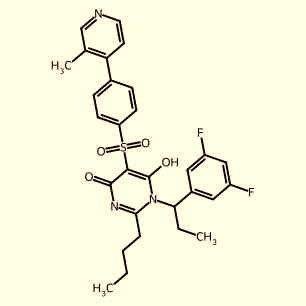 CCCCc1nc(=O)c(S(=O)(=O)c2ccc(-c3ccncc3C)cc2)c(O)n1C(CC)c1cc(F)cc(F)c1